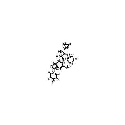 CC/C(C(=O)Nc1nccs1)=C1\c2cc3cnn(-c4ccc(F)cc4)c3cc2COc2ccccc21